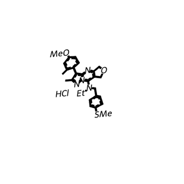 CCN(Cc1ccc(SC)cc1)c1c2c(nc3c(-c4ccc(OC)cc4C)c(C)nn13)COC2.Cl